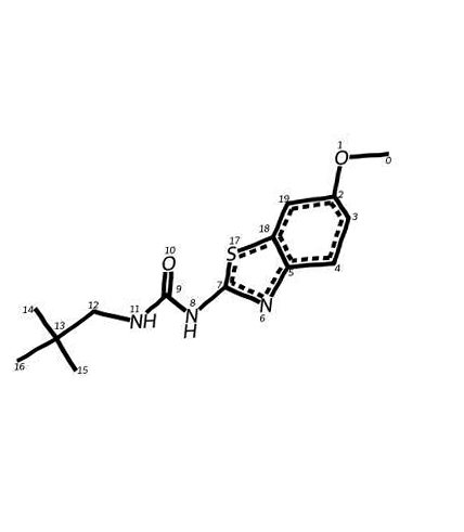 COc1ccc2nc(NC(=O)NCC(C)(C)C)sc2c1